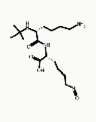 CC(C)(C)N[C@H](CCCCN)C(=O)N[C@H](CCCCN=O)C(=O)O